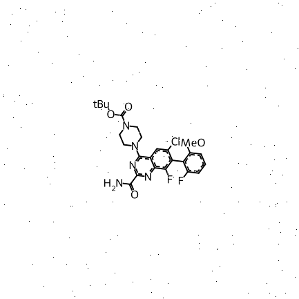 COc1cccc(F)c1-c1c(Cl)cc2c(N3CCN(C(=O)OC(C)(C)C)CC3)nc(C(N)=O)nc2c1F